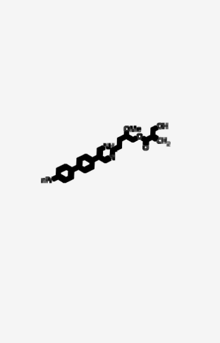 C=C(CO)C(=O)OCC(CCC/N=C\C(=C/N)c1ccc(-c2ccc(CCC)cc2)cc1)OC